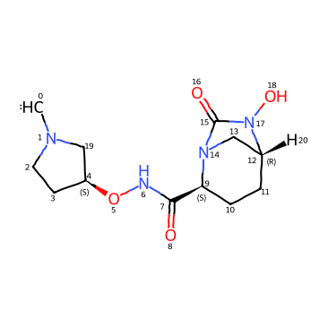 [CH]N1CC[C@H](ONC(=O)[C@@H]2CC[C@@H]3CN2C(=O)N3O)C1